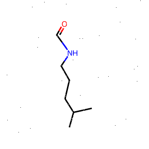 CC(C)CCCNC=O